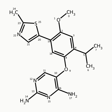 COc1cc(C(C)C)c(Oc2cnc(N)nc2N)cc1-c1cnc(C)s1